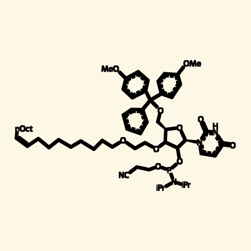 CCCCCCCC/C=C\CCCCCCCCOCCOC1C(OP(OCCC#N)N(C(C)C)C(C)C)[C@H](n2ccc(=O)[nH]c2=O)O[C@@H]1COC(c1ccccc1)(c1ccc(OC)cc1)c1ccc(OC)cc1